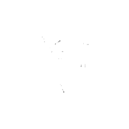 C[S@@+]([O-])CC[C@](CO)(C(=O)O[C@H]1CN2CCC1CC2)c1ccccc1.Cl